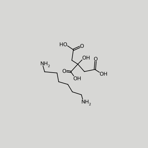 NCCCCCCN.O=C(O)CC(O)(CC(=O)O)C(=O)O